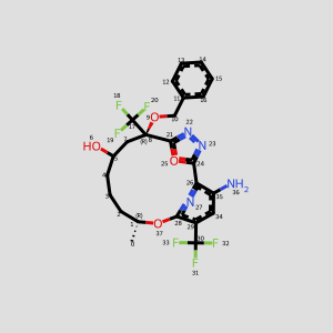 C[C@@H]1CCCC(O)C[C@](OCc2ccccc2)(C(F)(F)F)c2nnc(o2)-c2nc(c(C(F)(F)F)cc2N)O1